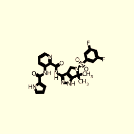 CC1(C)c2[nH]nc(NC(=O)c3ncccc3NC(=O)c3ccc[nH]3)c2CN1S(=O)(=O)c1cc(F)cc(F)c1